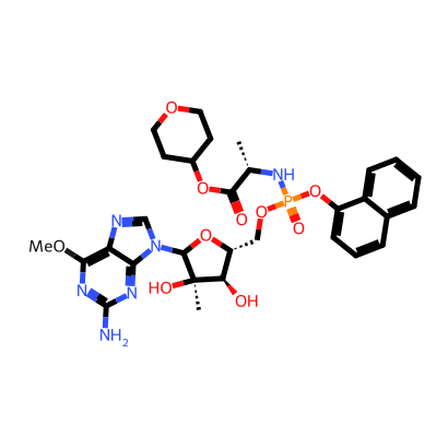 COc1nc(N)nc2c1ncn2C1O[C@H](COP(=O)(N[C@@H](C)C(=O)OC2CCOCC2)Oc2cccc3ccccc23)[C@@H](O)[C@@]1(C)O